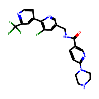 O=C(NCc1cnc(-c2ccnc(C(F)(F)F)c2)c(F)c1)c1ccc(N2CCNCC2)nc1